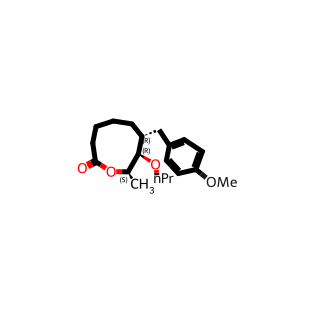 CCCO[C@@H]1[C@@H](Cc2ccc(OC)cc2)CCCCC(=O)O[C@H]1C